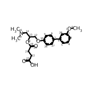 COc1cccc(-c2ccc(OCC(CN(C)C)OC(=O)CCC(=O)O)cc2)c1